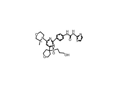 C[C@H]1COCCN1c1cc(C2(S(=O)(=O)CCCO)CCOCC2)nc(-c2ccc(NC(=O)Nc3nccs3)cc2)n1